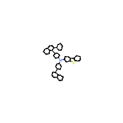 c1ccc(-c2ccc3ccccc3c2-c2ccc(N(c3ccc(-c4cccc5ccccc45)cc3)c3ccc4c(c3)sc3ccccc34)cc2)cc1